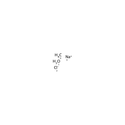 C.O.[Cl-].[Na+]